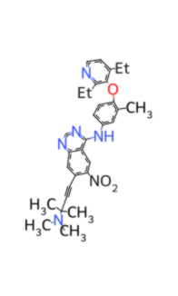 CCc1ccnc(CC)c1Oc1ccc(Nc2ncnc3cc(C#CC(C)(C)N(C)C)c([N+](=O)[O-])cc23)cc1C